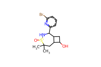 CC1(C)CC2C(O)CC2C(c2cccc(Br)n2)N[S+]1[O-]